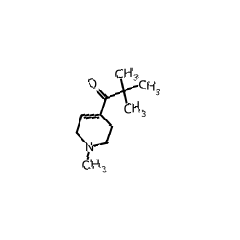 CN1CC=C(C(=O)C(C)(C)C)CC1